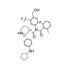 Cc1cccc(F)c1C(=O)N(C(=O)[C@H]1CCCN[C@H]1c1ccc(NC2CCCC2)cc1)c1ccc(CO)c(C(F)(F)F)c1